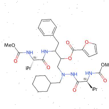 COC(=O)N[C@H](C(=O)NC(Cc1ccccc1)C(CN(CC1CCCCC1)NC(=O)[C@@H](NC(=O)OC)C(C)C)OC(=O)c1ccco1)C(C)C